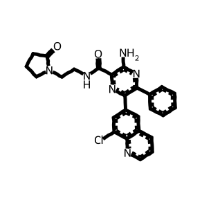 Nc1nc(-c2ccccc2)c(-c2cc(Cl)c3ncccc3c2)nc1C(=O)NCCN1CCCC1=O